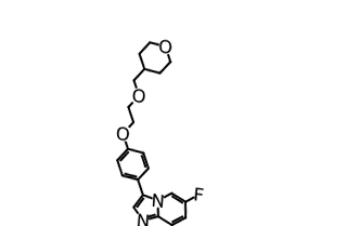 Fc1ccc2ncc(-c3ccc(OCCOCC4CCOCC4)cc3)n2c1